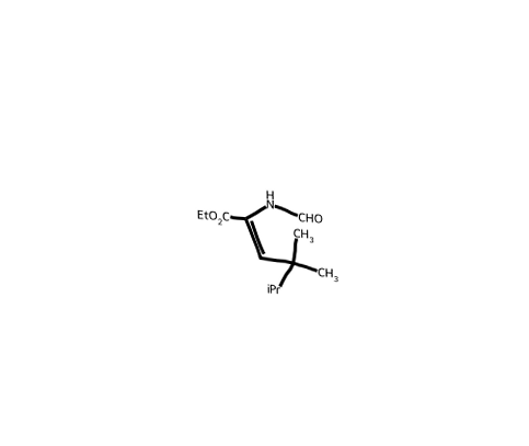 CCOC(=O)C(=CC(C)(C)C(C)C)NC=O